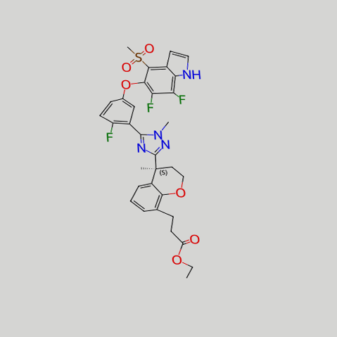 CCOC(=O)CCc1cccc2c1OCC[C@]2(C)c1nc(-c2cc(Oc3c(F)c(F)c4[nH]ccc4c3S(C)(=O)=O)ccc2F)n(C)n1